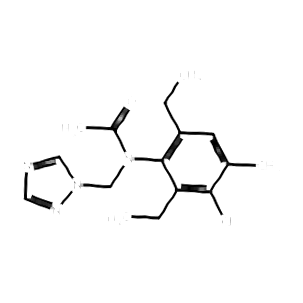 CCc1cc(C)c(Cl)c(CC)c1N(Cn1cncn1)C(C)=O